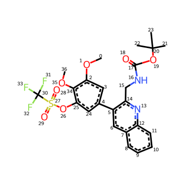 COc1cc(-c2cc3ccccc3nc2CNC(=O)OC(C)(C)C)cc(OS(=O)(=O)C(F)(F)F)c1OC